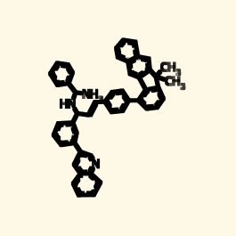 CC1(C)c2cc3ccccc3cc2-c2c(-c3ccc(/C=C/C(NC(N)c4ccccc4)c4cccc(-c5cnc6ccccc6c5)c4)cc3)cccc21